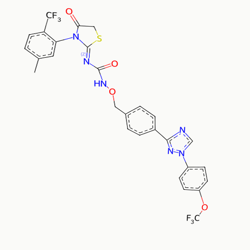 Cc1ccc(C(F)(F)F)c(N2C(=O)CS/C2=N\C(=O)NOCc2ccc(-c3ncn(-c4ccc(OC(F)(F)F)cc4)n3)cc2)c1